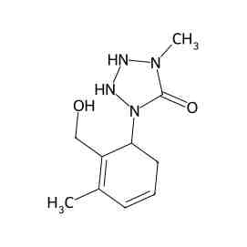 CC1=C(CO)C(N2NNN(C)C2=O)CC=C1